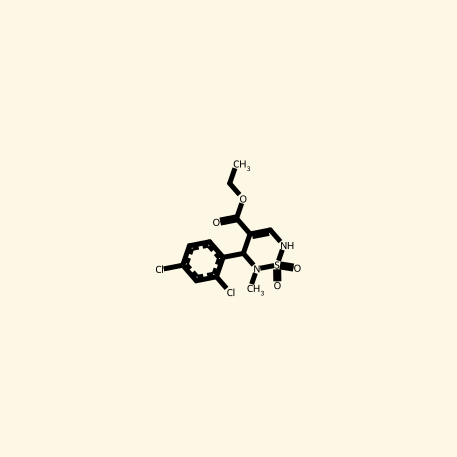 CCOC(=O)C1=CNS(=O)(=O)N(C)C1c1ccc(Cl)cc1Cl